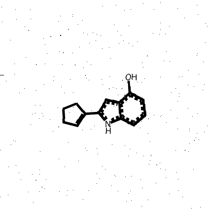 Oc1cccc2[nH]c(C3=CCCC3)cc12